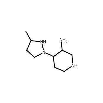 CC1CCN(C2CCNCC2N)N1